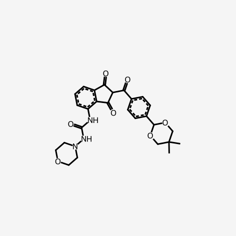 CC1(C)COC(c2ccc(C(=O)C3C(=O)c4cccc(NC(=O)NN5CCOCC5)c4C3=O)cc2)OC1